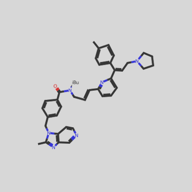 CC[C@@H](C)N(C/C=C/c1cccc(/C(=C/CN2CCCC2)c2ccc(C)cc2)n1)C(=O)c1ccc(Cn2c(C)nc3cnccc32)cc1